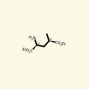 CCOC(=O)[C@H](C)C[C@H](N)C(=O)OCC